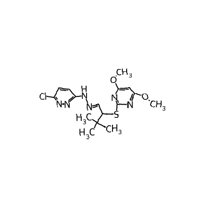 COc1cc(OC)nc(SC(C=NNc2ccc(Cl)nn2)C(C)(C)C)n1